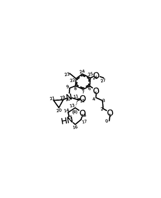 COCCCOc1cc(CN(C(=O)[C@H]2CNCCO2)C2CC2)c(C)cc1OC